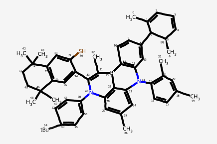 CC1=CC=C[C@@H](C)C1c1ccc2c(c1)N(c1ccc(C)cc1C)c1cc(C)cc3c1B2C(C)=C(c1cc2c(cc1S)C(C)(C)CCC2(C)C)N3c1ccc(C(C)(C)C)cc1